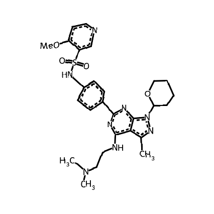 COc1ccncc1S(=O)(=O)Nc1ccc(-c2nc(NCCN(C)C)c3c(C)nn(C4CCCCO4)c3n2)cc1